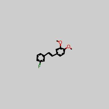 COc1ccc(/C=C/c2cccc(F)c2)cc1OC